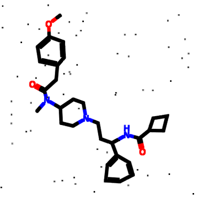 COc1ccc(CC(=O)N(C)C2CCN(CCC(NC(=O)C3CCC3)c3ccccc3)CC2)cc1